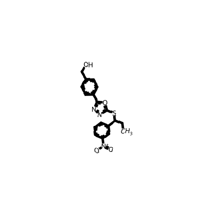 CCC(Sc1nnc(-c2ccc(CO)cc2)o1)c1cccc([N+](=O)[O-])c1